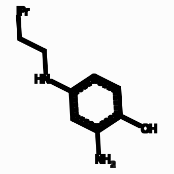 CC(C)CCNc1ccc(O)c(N)c1